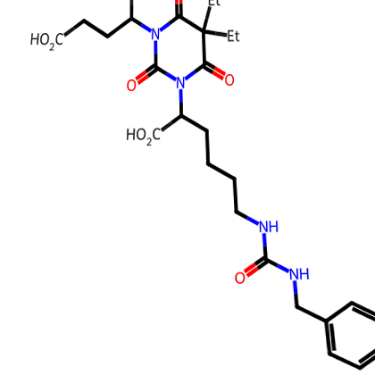 CCC1(CC)C(=O)N(C(CCCCNC(=O)NCc2ccccc2)C(=O)O)C(=O)N(C(CCC(=O)O)C(=O)O)C1=O